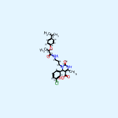 CC1=C(C(=O)O)C(c2cccc(Cl)c2)N(CCCNC(=O)C(C)Oc2ccc(C(C)C)cc2)C(=O)N1